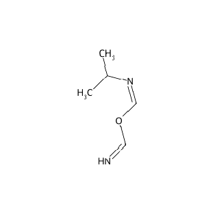 CC(C)/N=C\OC=N